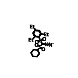 CCc1cc(CC)c(S(=O)(=O)C(=[N+]=[N-])S(=O)(=O)C2CCCCC2)c(CC)c1